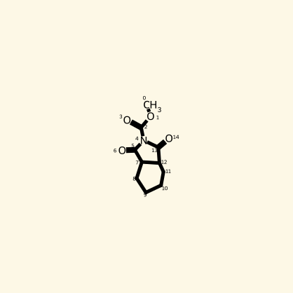 COC(=O)N1C(=O)C2CCCCC2C1=O